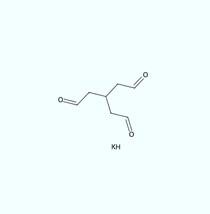 O=CCC(CC=O)CC=O.[KH]